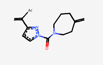 C=C1CCCN(C(=O)n2ccc(C(=C)C(C)=O)n2)CC1